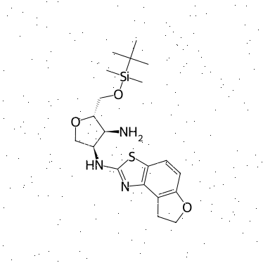 CC(C)(C)[Si](C)(C)OC[C@H]1OC[C@H](Nc2nc3c4c(ccc3s2)OCC4)[C@@H]1N